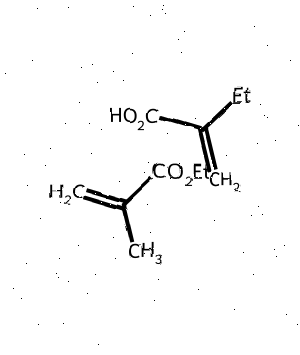 C=C(C)C(=O)OCC.C=C(CC)C(=O)O